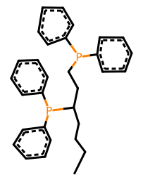 CCCCC(CCP(c1ccccc1)c1ccccc1)P(c1ccccc1)c1ccccc1